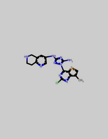 Cc1csc2c(-n3nc(Nc4cnc5c(c4)CNCC5)nc3N)nc(Cl)nc12